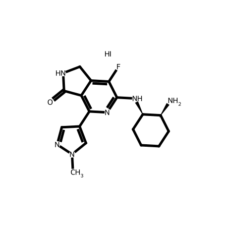 Cn1cc(-c2nc(N[C@@H]3CCCC[C@@H]3N)c(F)c3c2C(=O)NC3)cn1.I